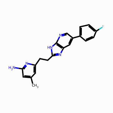 Cc1cc(N)nc(CCc2nc3cc(-c4ccc(F)cc4)cnc3[nH]2)c1